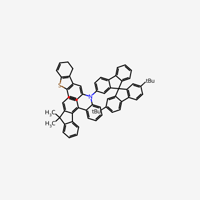 CC(C)(C)c1ccc2c(c1)C1(c3ccccc3-c3ccc(N(c4ccc5sc6c(c5c4)CCC=C6)c4ccccc4-c4cccc5c4-c4ccccc4C5(C)C)cc31)c1cc(C(C)(C)C)ccc1-2